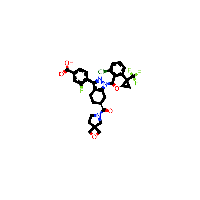 O=C(O)c1ccc(-c2nn(C(=O)c3c(Cl)cccc3C3(C(F)(F)F)CC3)c3c2CC[C@H](C(=O)N2CCC4(COC4)C2)C3)c(F)c1